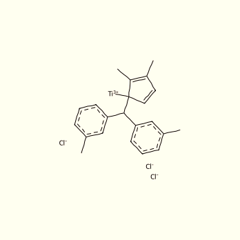 CC1=C(C)[C]([Ti+3])(C(c2cccc(C)c2)c2cccc(C)c2)C=C1.[Cl-].[Cl-].[Cl-]